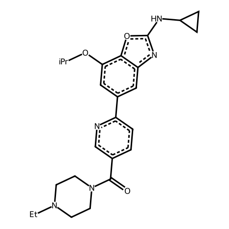 CCN1CCN(C(=O)c2ccc(-c3cc(OC(C)C)c4oc(NC5CC5)nc4c3)nc2)CC1